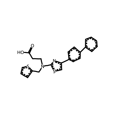 O=C(O)CCN(Cc1cccs1)c1nc(-c2ccc(-c3ccccc3)cc2)cs1